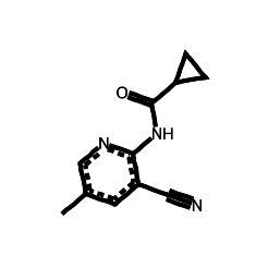 Cc1cnc(NC(=O)C2CC2)c(C#N)c1